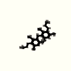 OCCc1c(Br)cc(Br)c(Oc2c(Br)cc(Br)c(CCO)c2Br)c1Br